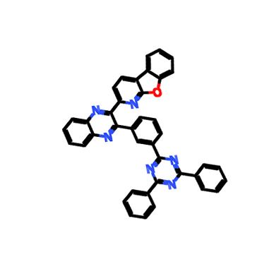 c1ccc(-c2nc(-c3ccccc3)nc(-c3cccc(-c4nc5ccccc5nc4-c4ccc5c(n4)oc4ccccc45)c3)n2)cc1